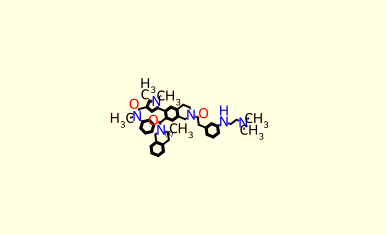 Cc1c(C(=O)N(C)c2ccccc2)cc(-c2cc3c(cc2C(=O)N2Cc4ccccc4C[C@H]2C)CN(C(=O)Cc2cccc(NCCN(C)C)c2)CC3)n1C